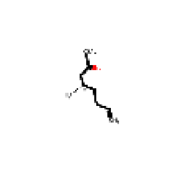 C=CCC[C@H](C)CC(=O)OC